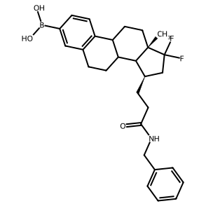 C[C@]12CCC3c4ccc(B(O)O)cc4CCC3C1[C@H](CCC(=O)NCc1ccccc1)CC2(F)F